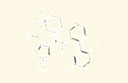 Cn1cc(C(=O)Nc2c(-c3cc(F)ccc3F)ccnc2C2CCC(F)(F)CC2)c(C(F)F)n1